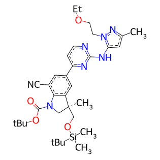 CCOCCn1nc(C)cc1Nc1nccc(-c2cc(C#N)c3c(c2)[C@@](C)(CO[Si](C)(C)C(C)(C)C)CN3C(=O)OC(C)(C)C)n1